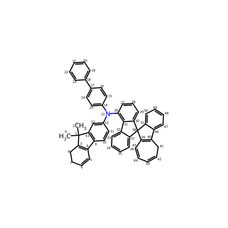 CC1(C)C2=C(C=CCC2)c2ccc(N(c3ccc(-c4ccccc4)cc3)c3cccc4c3-c3ccccc3C43C4=C(CC=CC=C4)c4ccccc43)cc21